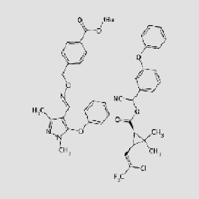 CC1(C)[C@H](C(=O)OC(C#N)c2cccc(Oc3ccccc3)c2)[C@@H]1/C=C(\Cl)C(F)(F)F.Cc1nn(C)c(Oc2ccccc2)c1/C=N/OCc1ccc(C(=O)OC(C)(C)C)cc1